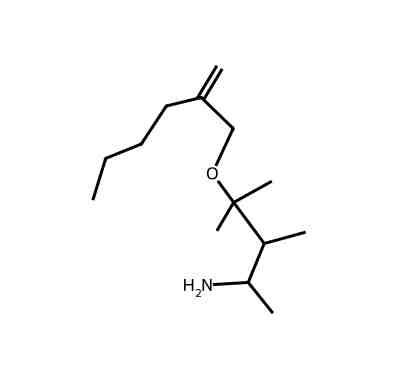 C=C(CCCC)COC(C)(C)C(C)C(C)N